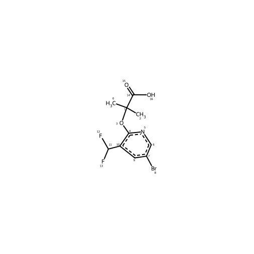 CC(C)(Oc1ncc(Br)cc1C(F)F)C(=O)O